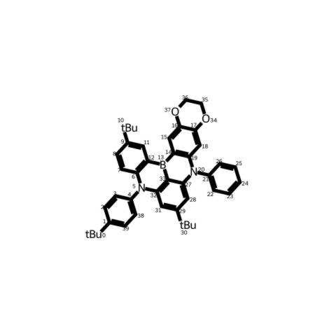 CC(C)(C)c1ccc(N2c3ccc(C(C)(C)C)cc3B3c4cc5c(cc4N(c4ccccc4)c4cc(C(C)(C)C)cc2c43)OCCO5)cc1